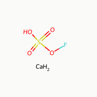 O=S(=O)(O)OF.[CaH2]